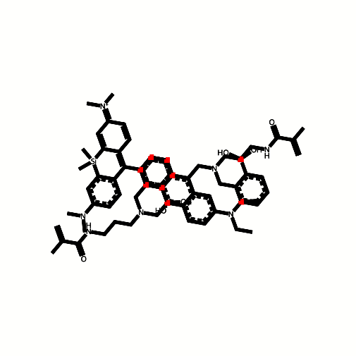 C=C(C)C(=O)NCCCN(Cc1ccccc1B(O)O)Cc1c2ccc(N(CC)CC)cc2c(CN(CCCNC(=O)C(=C)C)Cc2ccccc2B(O)O)c2ccc(C3=C4C=CC(=[N+](C)C)C=C4[Si](C)(C)c4cc(N(C)C)ccc43)cc12